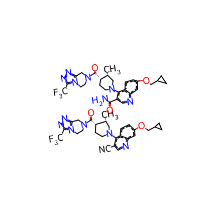 C[C@@H]1CN(c2c(C#N)cnc3cc(OCC4CC4)ccc23)CC[C@@H]1C(=O)N1CCn2c(nnc2C(F)(F)F)C1.C[C@@H]1CN(c2c(C(N)=O)cnc3cc(OCC4CC4)ccc23)CC[C@@H]1C(=O)N1CCn2c(nnc2C(F)(F)F)C1